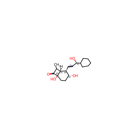 CC1C(=O)[C@@]2(O)CC[C@@H](O)[C@H](/C=C/[C@@H](O)C3CCCCC3)[C@@H]12